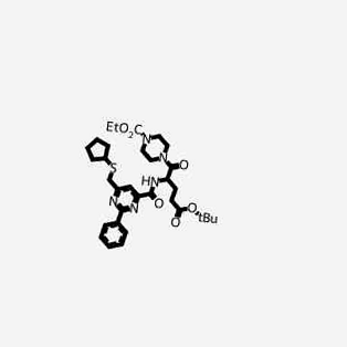 CCOC(=O)N1CCN(C(=O)C(CCC(=O)OC(C)(C)C)NC(=O)c2cc(CSC3CCCC3)nc(-c3ccccc3)n2)CC1